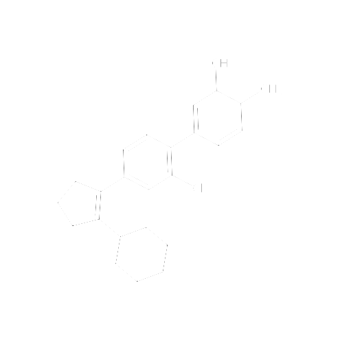 CC1C=CC(c2ccc(C3=C(C4CCCCC4)CCC3)cc2Cl)=CC1C